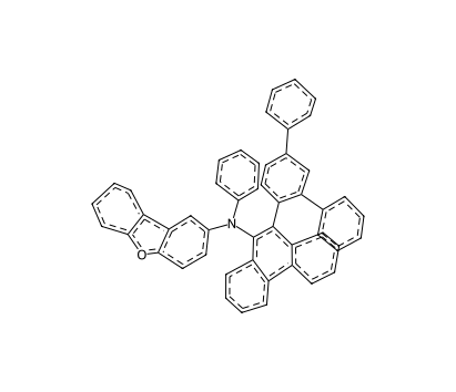 c1ccc(-c2ccc(-c3c(N(c4ccccc4)c4ccc5oc6ccccc6c5c4)c4ccccc4c4ccccc34)c(-c3ccccc3)c2)cc1